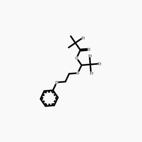 CCC(C)(C)C(=O)OC(OCCOc1ccccc1)C(CC)(CC)CC